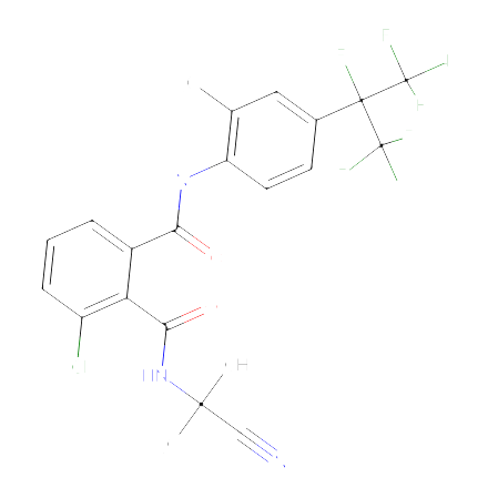 Cc1cc(C(F)(C(F)(F)F)C(F)(F)F)ccc1NC(=O)c1cccc(Cl)c1C(=O)NC(C)(C)C#N